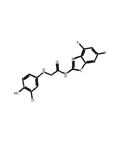 N#Cc1ccc(NCC(=O)Nc2nc3c(F)cc(F)cc3s2)cc1Cl